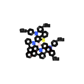 CC(C)(C)c1ccc(N(c2ccc(C(C)(C)C)cc2)c2ccc3c(c2)N(c2c(-c4ccccc4)cccc2-c2ccccc2)c2cc(-c4ccccc4)cc4c2B3c2c(cc(N(c3ccc(C(C)(C)C)cc3)c3ccc(C(C)(C)C)cc3)c3c2sc2ccccc23)N4c2ccccc2-c2ccccc2)cc1